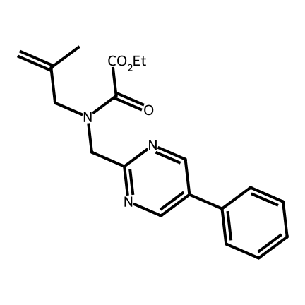 C=C(C)CN(Cc1ncc(-c2ccccc2)cn1)C(=O)C(=O)OCC